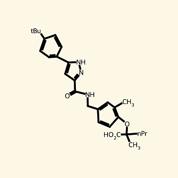 CCCC(C)(Oc1ccc(CNC(=O)c2cc(-c3ccc(C(C)(C)C)cc3)[nH]n2)cc1C)C(=O)O